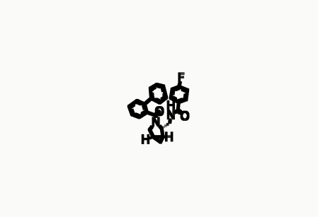 O=C(NC[C@@H]1[C@@H]2C[C@@H]2CN1C(=O)c1ccccc1-c1ccccc1)c1ccc(F)cc1